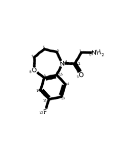 NCC(=O)N1CCCOc2cc(F)ccc21